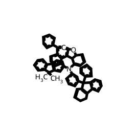 CC1(C)c2ccccc2-c2ccc(N(C3=CC=CC4Oc5cc(-c6ccccc6)c6ccccc6c5C34)c3cccc(C4(c5ccccc5)C5=C(CCC=C5)c5ccccc54)c3)cc21